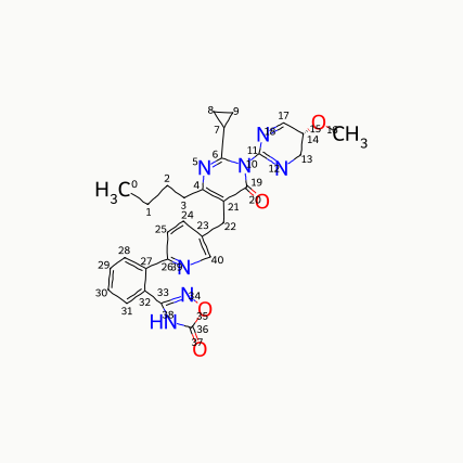 CCCCc1nc(C2CC2)n(C2=NC[C@@H](OC)C=N2)c(=O)c1Cc1ccc(-c2ccccc2-c2noc(=O)[nH]2)nc1